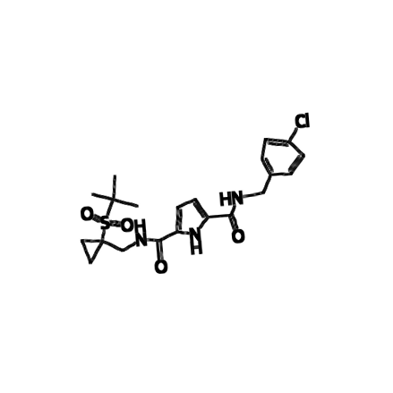 CC(C)(C)S(=O)(=O)C1(CNC(=O)c2ccc(C(=O)NCc3ccc(Cl)cc3)[nH]2)CC1